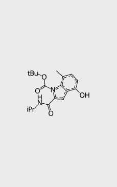 Cc1ccc(O)c2cc(C(=O)NC(C)C)n(C(=O)OC(C)(C)C)c12